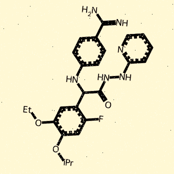 CCOc1cc(C(Nc2ccc(C(=N)N)cc2)C(=O)NNc2ccccn2)c(F)cc1OC(C)C